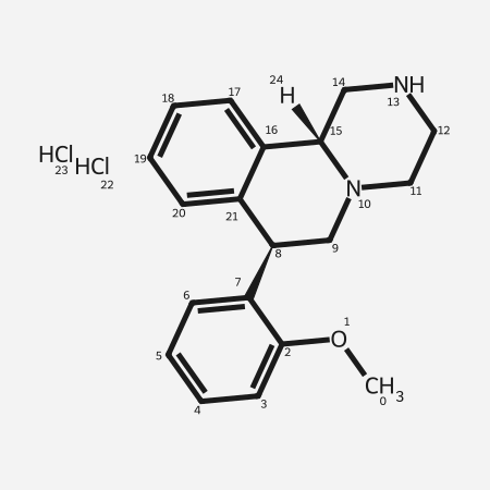 COc1ccccc1[C@@H]1CN2CCNC[C@H]2c2ccccc21.Cl.Cl